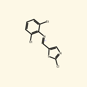 CCc1cccc(CC)c1/N=C/c1cnc(Cl)s1